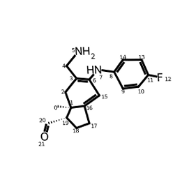 C[C@]12CC(CN)=C(Nc3ccc(F)cc3)C=C1CC[C@@H]2C=O